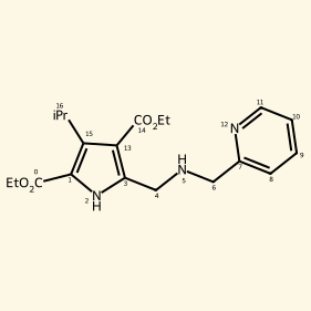 CCOC(=O)c1[nH]c(CNCc2ccccn2)c(C(=O)OCC)c1C(C)C